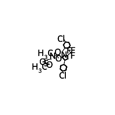 CN(CCS(C)(=O)=O)C(=O)Oc1c(-c2ccc(Cl)cc2)cc(C(F)(F)F)n1Cc1cccc(Cl)c1